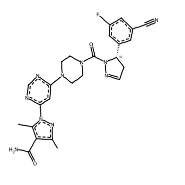 Cc1nn(-c2cc(N3CCN(C(=O)N4N=CC[C@H]4c4cc(F)cc(C#N)c4)CC3)ncn2)c(C)c1C(N)=O